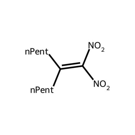 CCCCCC(CCCCC)=C([N+](=O)[O-])[N+](=O)[O-]